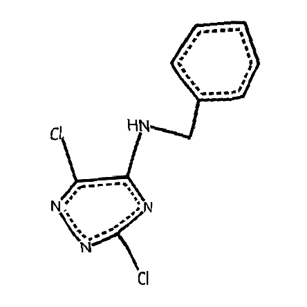 Clc1nnc(Cl)c(NCc2ccccc2)n1